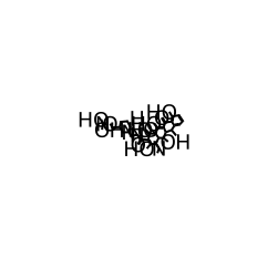 CC1c2cccc(O)c2C(=O)C2=C(O)C3(O)C(=O)C(C(=O)NCN4CCCC(CON(O)O)C4)=C(O)C(N(C)C)C3C(O)C21